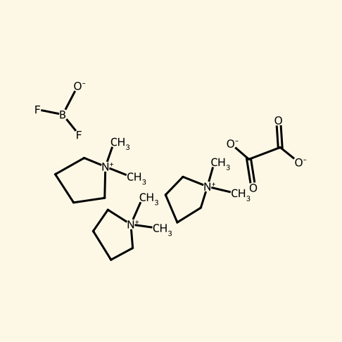 C[N+]1(C)CCCC1.C[N+]1(C)CCCC1.C[N+]1(C)CCCC1.O=C([O-])C(=O)[O-].[O-]B(F)F